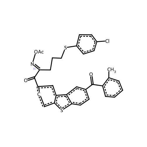 CC(=O)O/N=C(\CCCSc1ccc(Cl)cc1)C(=O)c1ccc2sc3ccc(C(=O)c4ccccc4C)cc3c2c1